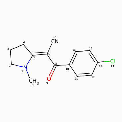 CN1CCCC1=C(C#N)C(=O)c1ccc(Cl)cc1